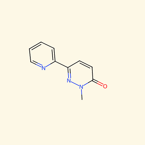 Cn1nc(-c2ccccn2)ccc1=O